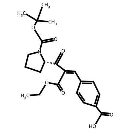 CCOC(=O)/C(=C\c1ccc(C(=O)O)cc1)C(=O)[C@@H]1CCCN1C(=O)OC(C)(C)C